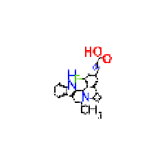 CC1Cc2c([nH]c3ccccc23)C2c3c(F)cc(/C=C/C(=O)O)cc3C3C4CC3(C4)N12